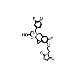 O=C(O)C[C@@H](c1ccc(Cl)c(F)c1)N(Cc1ccc(OCCN2C(=O)CCC2=O)c(F)c1)CC1CC1